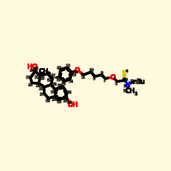 CCCCN(C)C(=S)COCCCCCOc1ccc([C@H]2C[C@@]3(C)C(CC[C@@H]3O)C3CCc4cc(O)ccc4C32)cc1